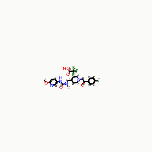 COc1ccc(NC(=O)N(C)CC2CCN(CC(=O)c3ccc(F)cc3)CC2)cn1.O=C(O)C(F)(F)F